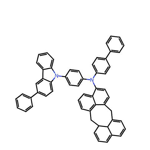 C1=CC2=CC=CC3Cc4cccc5c(N(c6ccc(-c7ccccc7)cc6)c6ccc(-n7c8ccccc8c8cc(-c9ccccc9)ccc87)cc6)ccc(c45)CC(=C1)C23